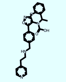 Cc1noc(-c2ccc(CNCCc3ccncc3)cc2)c1N(C(=O)O)C(C)c1ccccc1Cl